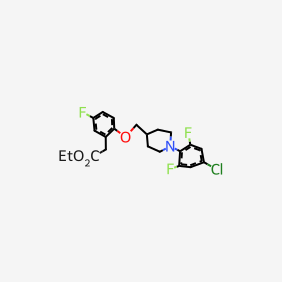 CCOC(=O)Cc1cc(F)ccc1OCC1CCN(c2c(F)cc(Cl)cc2F)CC1